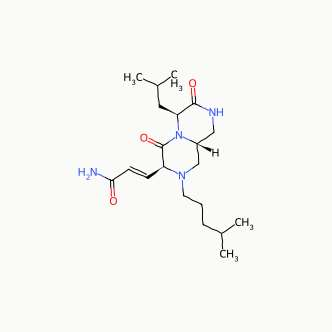 CC(C)CCCN1C[C@H]2CNC(=O)[C@H](CC(C)C)N2C(=O)[C@@H]1C=CC(N)=O